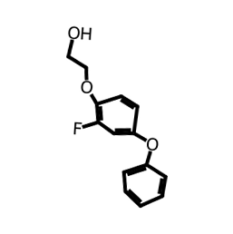 OCCOc1ccc(Oc2ccccc2)cc1F